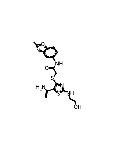 C=C(N)c1sc(NCCO)nc1SCC(=O)Nc1ccc2oc(C)nc2c1